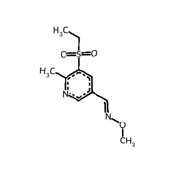 CCS(=O)(=O)c1cc(/C=N/OC)cnc1C